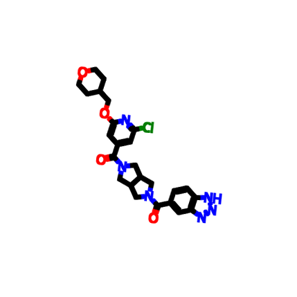 O=C(c1cc(Cl)nc(OCC2CCOCC2)c1)N1CC2CN(C(=O)c3ccc4[nH]nnc4c3)CC2C1